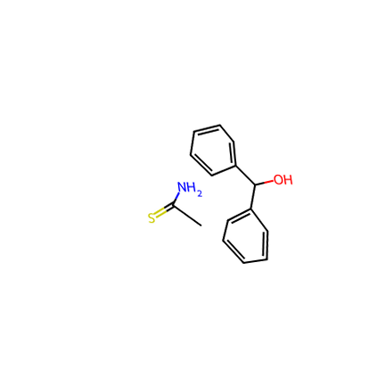 CC(N)=S.OC(c1ccccc1)c1ccccc1